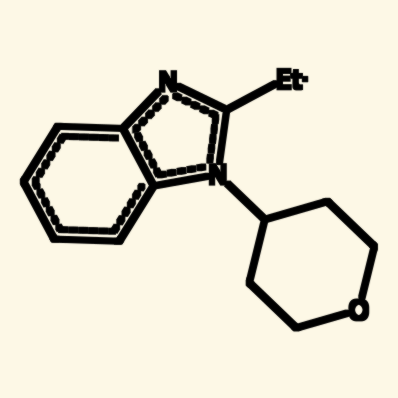 C[CH]c1nc2ccccc2n1C1CCOCC1